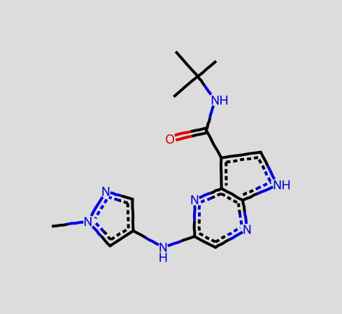 Cn1cc(Nc2cnc3[nH]cc(C(=O)NC(C)(C)C)c3n2)cn1